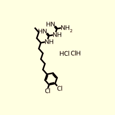 CCCC(CCCCCc1ccc(Cl)c(Cl)c1)NC(=N)NC(=N)N.Cl.Cl